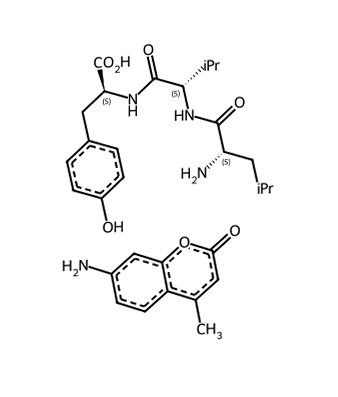 CC(C)C[C@H](N)C(=O)N[C@H](C(=O)N[C@@H](Cc1ccc(O)cc1)C(=O)O)C(C)C.Cc1cc(=O)oc2cc(N)ccc12